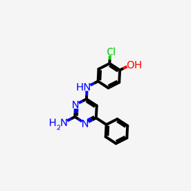 Nc1nc(Nc2ccc(O)c(Cl)c2)cc(-c2ccccc2)n1